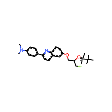 CN(C)c1ccc(-c2ccc3cc(OCC(CF)O[Si](C)(C)C(C)(C)C)ccc3n2)cc1